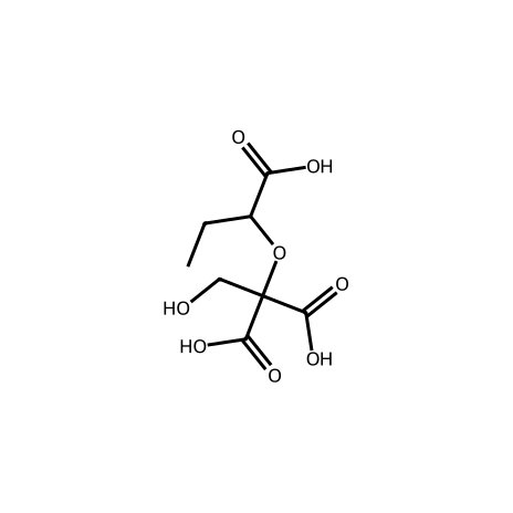 CCC(OC(CO)(C(=O)O)C(=O)O)C(=O)O